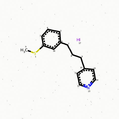 CSc1cccc(CCCc2ccncc2)c1.I